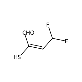 O=C/C(S)=C\C(F)F